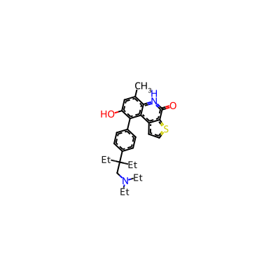 CCN(CC)CC(CC)(CC)c1ccc(-c2c(O)cc(C)c3[nH]c(=O)c4sccc4c23)cc1